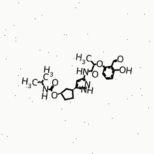 CC(C)NC(=O)O[C@@H]1CC[C@H](c2cc(NC(=O)C(C)Oc3cccc(O)c3C=O)n[nH]2)C1